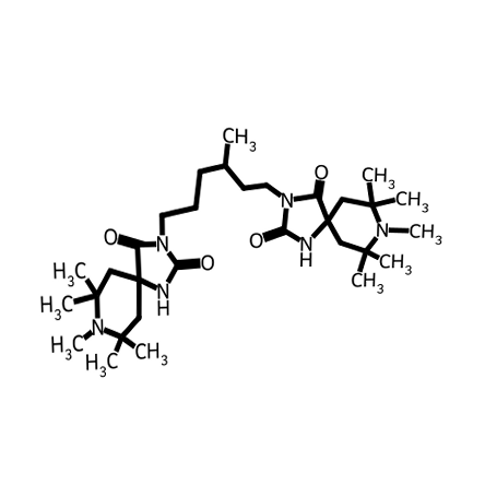 CC(CCCN1C(=O)NC2(CC(C)(C)N(C)C(C)(C)C2)C1=O)CCN1C(=O)NC2(CC(C)(C)N(C)C(C)(C)C2)C1=O